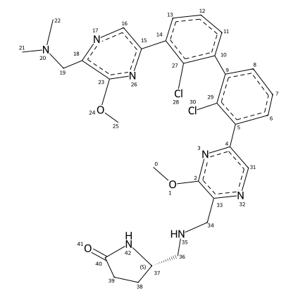 COc1nc(-c2cccc(-c3cccc(-c4cnc(CN(C)C)c(OC)n4)c3Cl)c2Cl)cnc1CNC[C@@H]1CCC(=O)N1